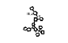 CC1C=C(Nc2ccc(-c3ccc4c(c3)c3cc5c(cc3n4-c3ccc4ccccc4c3)-c3ccccc3C5(c3ccccc3)c3ccccc3)cc2-c2ccccc2)C=CC1c1ccccc1